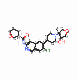 C[C@@]1(N2CCC(c3cc4cc(NC(=O)[C@@H]5CCCOC5)ncc4cc3Cl)CC2)COC[C@@H]1O